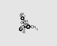 Cc1ccc([C@@H](O)[C@@H](CN2CCCC2)NC(=O)Nc2ccc(OC(F)(F)F)cc2)cc1